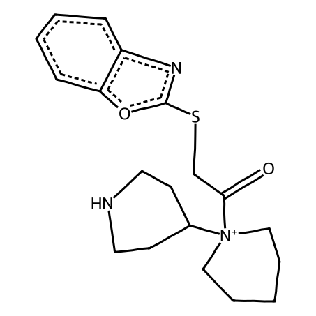 O=C(CSc1nc2ccccc2o1)[N+]1(C2CCNCC2)CCCCC1